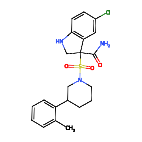 Cc1ccccc1C1CCCN(S(=O)(=O)C2(C(N)=O)CNc3ccc(Cl)cc32)C1